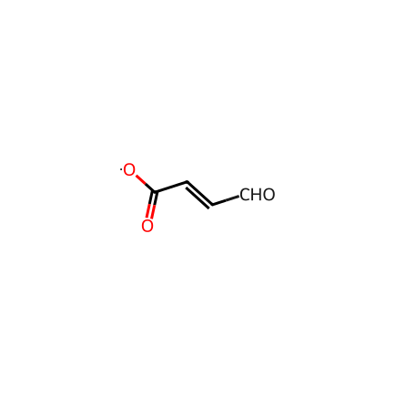 [O]C(=O)C=CC=O